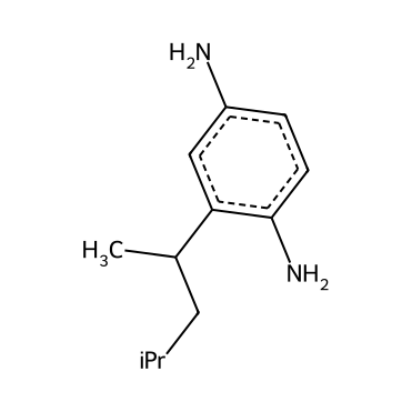 CC(C)CC(C)c1cc(N)ccc1N